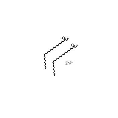 CCCCCCCC/C=C\CCCCCCCCCCCCCC(=O)[O-].CCCCCCCC/C=C\CCCCCCCCCCCCCC(=O)[O-].[Zn+2]